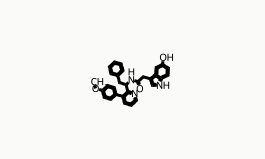 COc1ccc(-c2cccnc2C(Cc2ccccc2)NC(=O)Cc2c[nH]c3ccc(O)cc23)cc1